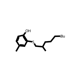 CCC(C)CCCC(C)CSc1cc(C)ccc1O